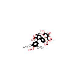 COc1cc([C@@H]2c3cc4c(cc3[C@@H](O[C@@H]3OC5CO[C@@H](C)O[C@H]5C(O)C3O)[C@H]3COC(=O)[C@H]23)OCO4)cc(OC)c1O